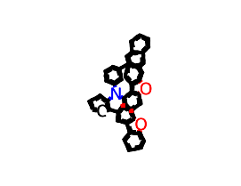 c1cc(-c2ccc3ccccc3c2)cc(N(c2ccccc2-c2ccc3oc4ccccc4c3c2)c2cccc3oc4ccccc4c23)c1